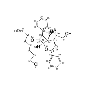 CCCCCCCCCCCCCCCCO.OC[C@@H](O)[C@H]1OC(c2ccccc2)O[C@H]2C(O)C(c3ccccc3)[C@]12O